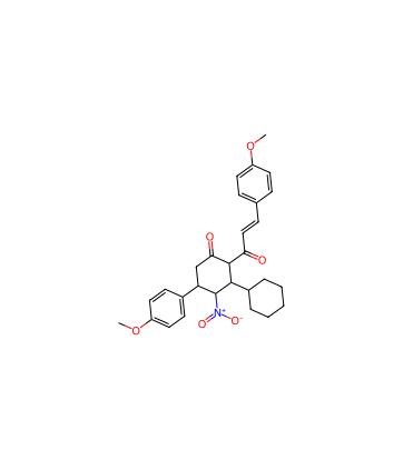 COc1ccc(C=CC(=O)C2C(=O)CC(c3ccc(OC)cc3)C([N+](=O)[O-])C2C2CCCCC2)cc1